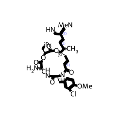 CN/C=C(C=N)/C=C/[C@@H](C)[C@@H]1C/C=C/C(=O)N[C@H](Cc2ccc(OC)c(Cl)c2)C(=O)NC[C@@H](N)C(=O)O[C@@H](CC(C)C)C(=O)O1